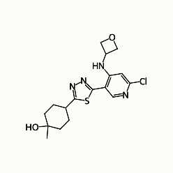 CC1(O)CCC(c2nnc(-c3cnc(Cl)cc3NC3COC3)s2)CC1